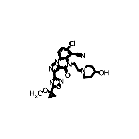 COC1(c2nc(-c3ncn4c3c(=O)n(CCN3CCC(O)CC3)c3c(C#N)c(Cl)ccc34)no2)CC1